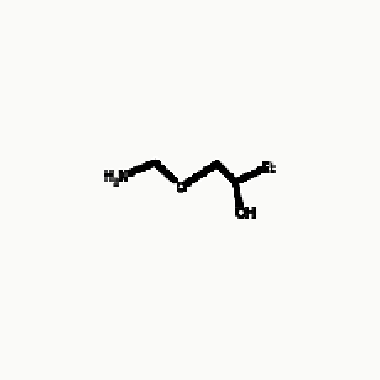 CCC(O)COCN